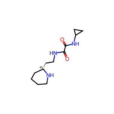 O=C(NCC[C@H]1CCCCN1)C(=O)NC1CC1